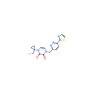 O=c1c(=O)n(C2(CF)CC2)ccn1Cc1ccc(-c2nccs2)nn1